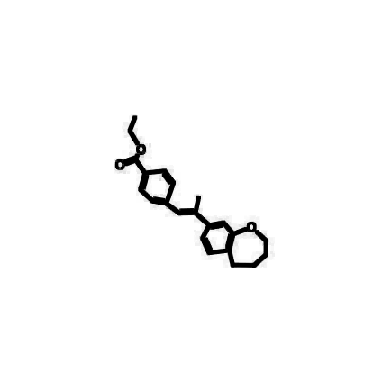 CCOC(=O)c1ccc(C=C(C)c2ccc3c(c2)OCCCC3)cc1